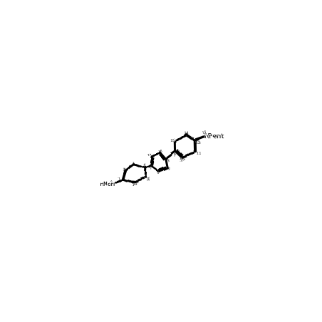 CCCCCCCCCC1CCC(c2ccc(C3=CCC(CCCCC)CC3)cc2)CC1